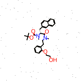 CN(CCc1ccccc1OCCO)C(=O)[C@@H](Cc1ccc2ccccc2c1)N(C)C(=O)OC(C)(C)C